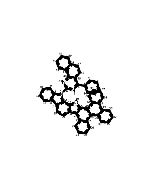 c1ccc(-c2nc(-n3c4ccccc4c4ccc5c(oc6c5c5ccccc5c5c7ccccc7c7ccccc7c65)c43)nc3c2ccc2ccccc23)cc1